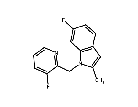 Cc1cc2ccc(F)cc2n1Cc1ncccc1F